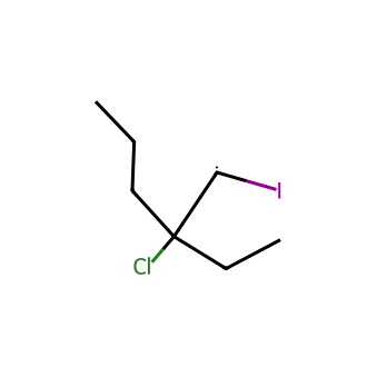 CCCC(Cl)([CH]I)CC